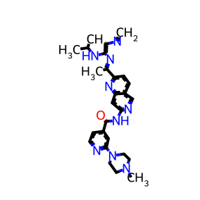 C=N/C=C(\N=C(/C)c1ccc2cnc(NC(=O)c3ccnc(N4CCN(C)CC4)c3)cc2n1)NC(C)C